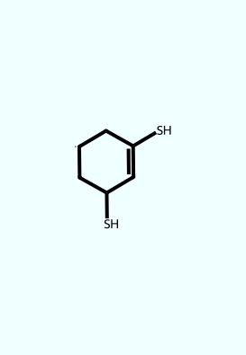 SC1=CC(S)C[CH]C1